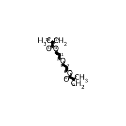 C=C(C)C(=O)OC=CCOCC=COC(=O)C(=C)C